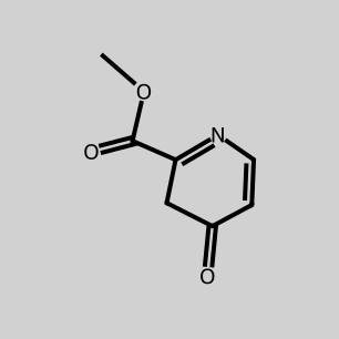 COC(=O)C1=NC=CC(=O)C1